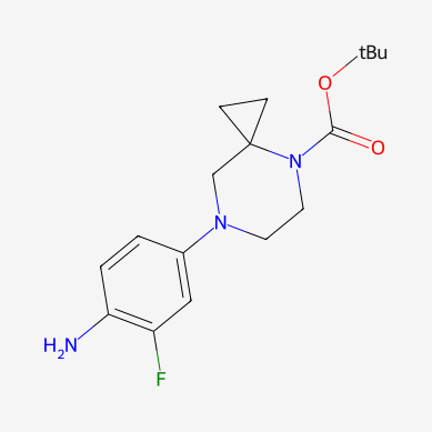 CC(C)(C)OC(=O)N1CCN(c2ccc(N)c(F)c2)CC12CC2